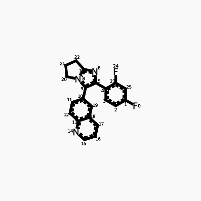 Fc1ccc(-c2nc3n(c2-c2ccc4ncccc4c2)CCC3)c(F)c1